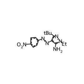 CCn1nc(C(C)(C)C)c(N=Nc2ccc([N+](=O)[O-])cc2)c1N